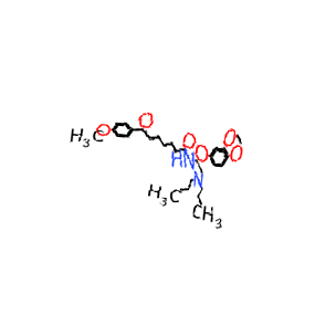 CCCCN(CCCC)C[C@@H](NC(=O)CCCCCC(=O)c1ccc(OC)cc1)Oc1ccc2c(c1)OCCO2